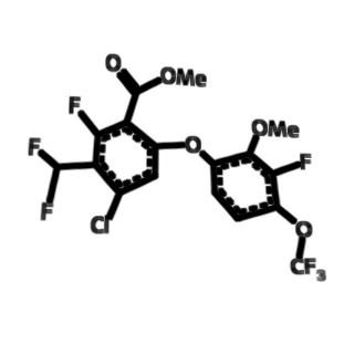 COC(=O)c1c(Oc2ccc(OC(F)(F)F)c(F)c2OC)cc(Cl)c(C(F)F)c1F